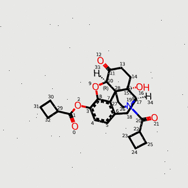 O=C(Oc1ccc2c3c1O[C@H]1C(=O)CC[C@@]4(O)[C@@H](C2)N(C(=O)C2CCC2)CCC314)C1CCC1